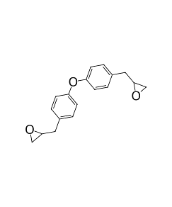 c1cc(Oc2ccc(CC3CO3)cc2)ccc1CC1CO1